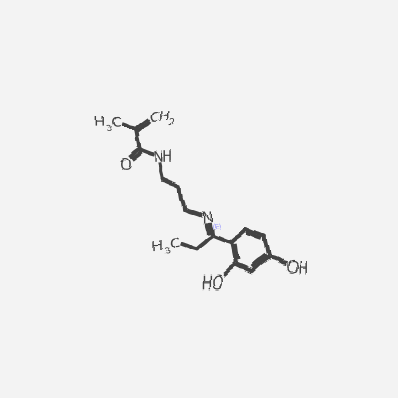 C=C(C)C(=O)NCCC/N=C(\CC)c1ccc(O)cc1O